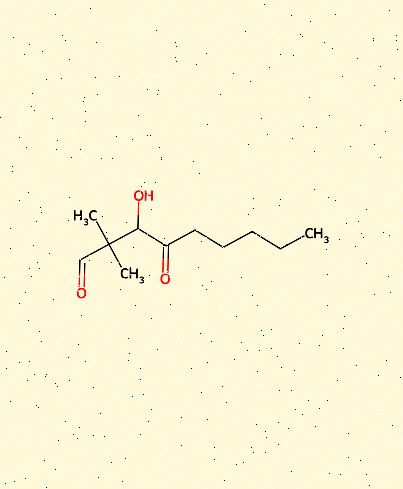 CCCCCC(=O)C(O)C(C)(C)C=O